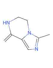 C=C1NCCn2c1cnc2C